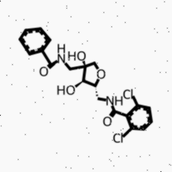 O=C(NC[C@]1(O)CO[C@H](CNC(=O)c2c(Cl)cccc2Cl)[C@H]1O)c1ccccc1